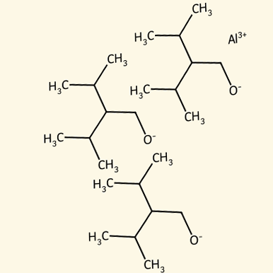 CC(C)C(C[O-])C(C)C.CC(C)C(C[O-])C(C)C.CC(C)C(C[O-])C(C)C.[Al+3]